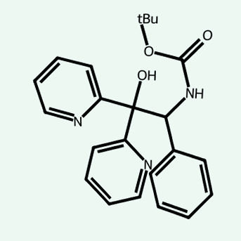 CC(C)(C)OC(=O)NC(c1ccccc1)C(O)(c1ccccn1)c1ccccn1